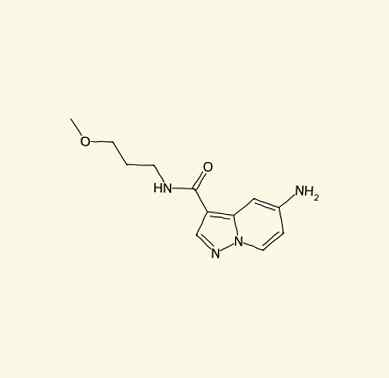 COCCCNC(=O)c1cnn2ccc(N)cc12